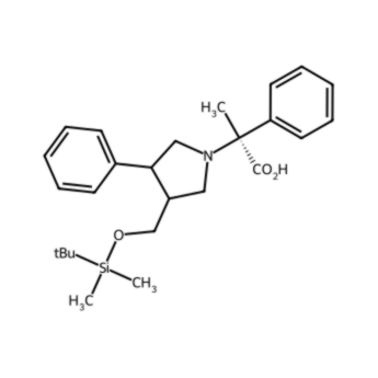 CC(C)(C)[Si](C)(C)OCC1CN([C@](C)(C(=O)O)c2ccccc2)CC1c1ccccc1